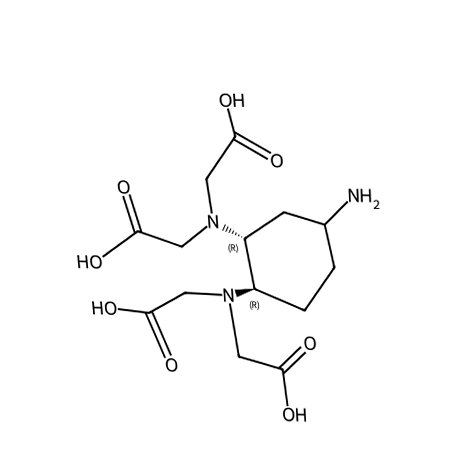 NC1CC[C@@H](N(CC(=O)O)CC(=O)O)[C@H](N(CC(=O)O)CC(=O)O)C1